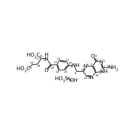 Nc1nc(=O)c2nc(CNc3ccc(C(=O)N[C@@H](CCC(=O)O)C(=O)O)cc3)cnc2[nH]1.O=S(=O)(O)O